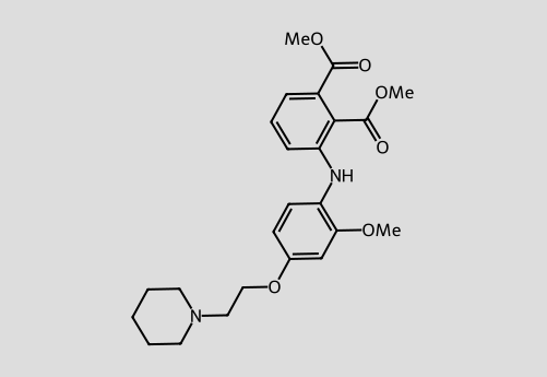 COC(=O)c1cccc(Nc2ccc(OCCN3CCCCC3)cc2OC)c1C(=O)OC